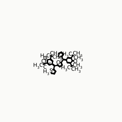 CC(C)(C)C1=CC(=C(c2ccc(C(=C3C=C(C(C)(C)C)C(=O)C(C(C)(C)C)=C3)c3cccs3)o2)c2cccs2)C=C(C(C)(C)C)C1=O